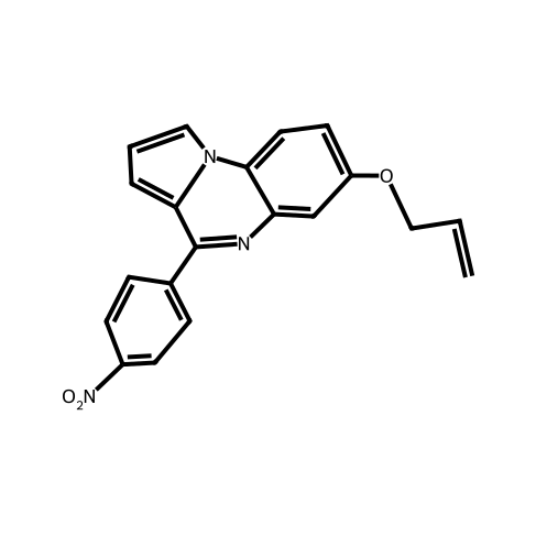 C=CCOc1ccc2c(c1)nc(-c1ccc([N+](=O)[O-])cc1)c1cccn12